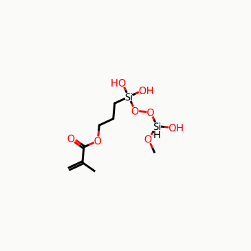 C=C(C)C(=O)OCCC[Si](O)(O)OO[SiH](O)OC